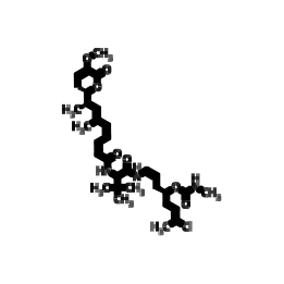 CNC(=O)O[C@H](C/C=C\NC(=O)C(NC(=O)\C=C/C=C\C(C)=C\[C@H](C)[C@@H]1CC=C(OC)C(=O)O1)C(C)(C)C)C/C=C(\C)Cl